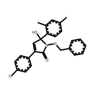 Cc1ccc(C2(O)C=C(c3ccc(Cl)cc3)C(=O)N2OCc2ccccc2)c(C)c1